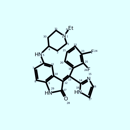 CCN1CCC(Nc2ccc3c(c2)/C(=C(/c2ncc[nH]2)c2cccc(F)c2F)C(=O)N3)CC1